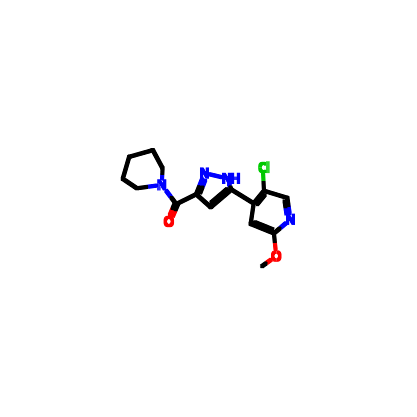 COc1cc(-c2cc(C(=O)N3CCCCC3)n[nH]2)c(Cl)cn1